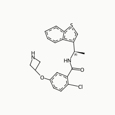 C[C@@H](NC(=O)c1cc(OC2CNC2)ccc1Cl)c1csc2ccccc12